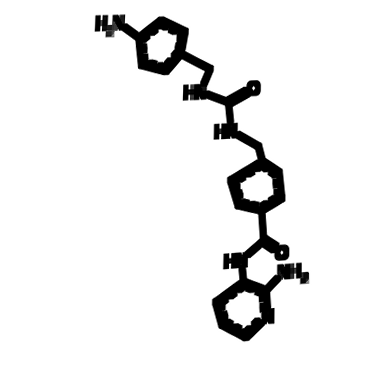 Nc1ccc(CNC(=O)NCc2ccc(C(=O)Nc3cccnc3N)cc2)cc1